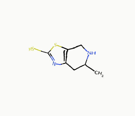 CC1Cc2nc(S)sc2CN1